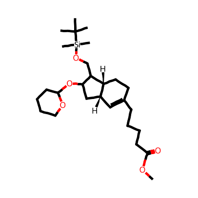 COC(=O)CCCCC1=C[C@@H]2CC(OC3CCCCO3)C(CO[Si](C)(C)C(C)(C)C)[C@@H]2CC1